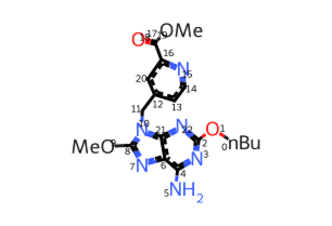 CCCCOc1nc(N)c2nc(OC)n(Cc3ccnc(C(=O)OC)c3)c2n1